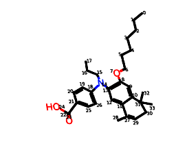 CCCCCCCOc1cc2c(cc1N(CCC)c1ccc(C(=O)O)cc1)C(C)=CCC2(C)C